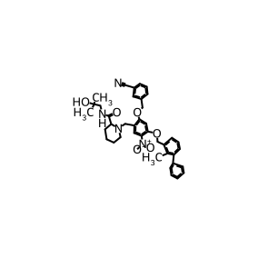 Cc1c(COc2cc(OCc3cccc(C#N)c3)c(CN3CCCCC3C(=O)NCC(C)(C)O)cc2[N+](=O)[O-])cccc1-c1ccccc1